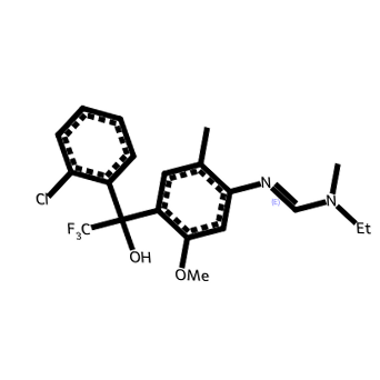 CCN(C)/C=N/c1cc(OC)c(C(O)(c2ccccc2Cl)C(F)(F)F)cc1C